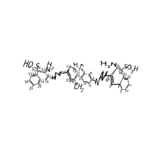 Cc1cc(/N=N/c2cc3ccccc3c(S(=O)(=O)O)c2N)ccc1-c1ccc(/N=N/c2cc3ccccc3c(S(=O)(=O)O)c2N)cc1C